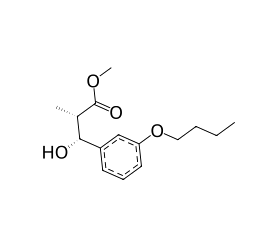 CCCCOc1cccc([C@H](O)[C@H](C)C(=O)OC)c1